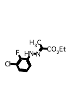 CCOC(=O)C(C)=NNc1cccc(Cl)c1F